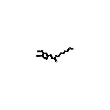 CCCCCCCCCCCCCCCOC(=O)C=Cc1ccc(O)c(OC)c1